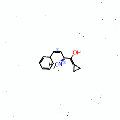 C/N=C(\C=C/C1C=CC=CC1)C(O)=C1CC1